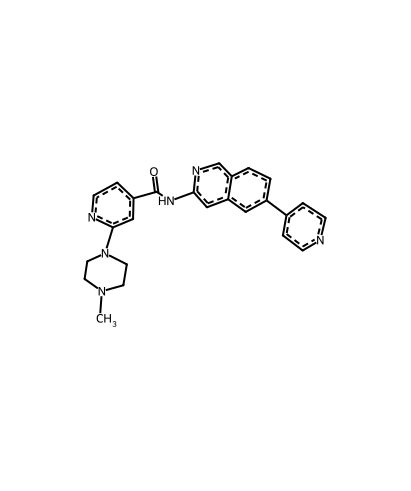 CN1CCN(c2cc(C(=O)Nc3cc4cc(-c5ccncc5)ccc4cn3)ccn2)CC1